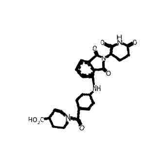 O=C1CCC(N2C(=O)c3cccc(NC4CCC(C(=O)N5CCC(C(=O)O)CC5)CC4)c3C2=O)C(=O)N1